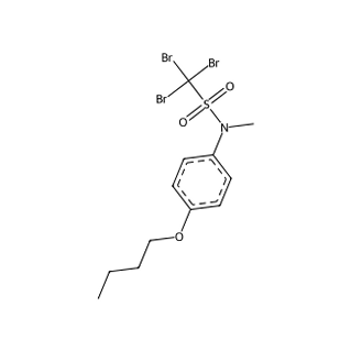 CCCCOc1ccc(N(C)S(=O)(=O)C(Br)(Br)Br)cc1